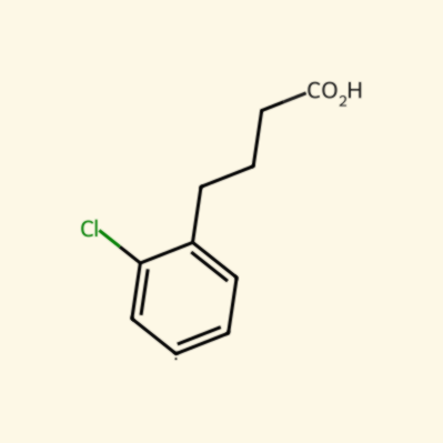 O=C(O)CCCc1cc[c]cc1Cl